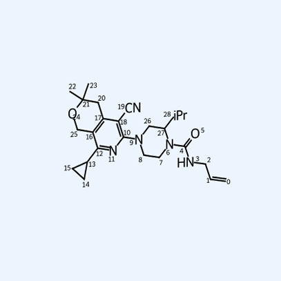 C=CCNC(=O)N1CCN(c2nc(C3CC3)c3c(c2C#N)CC(C)(C)OC3)CC1C(C)C